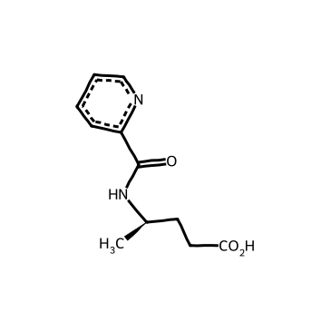 C[C@H](CCC(=O)O)NC(=O)c1ccccn1